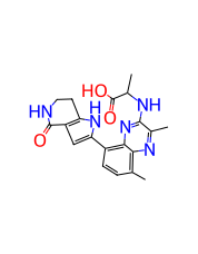 Cc1nc2c(C)ccc(-c3cc4c([nH]3)CCNC4=O)c2nc1NC(C)C(=O)O